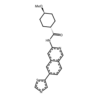 CO[C@H]1CC[C@H](C(=O)Nc2cc3cc(-c4cncs4)ccc3cn2)CC1